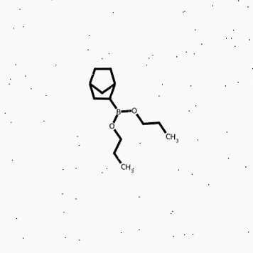 CCCOB(OCCC)C1CC2CCC1C2